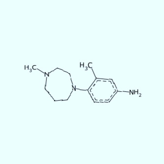 Cc1cc(N)ccc1N1CCCN(C)CC1